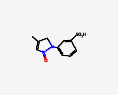 CC1=C[N+](=O)N(c2cccc(S(=O)(=O)O)c2)C1